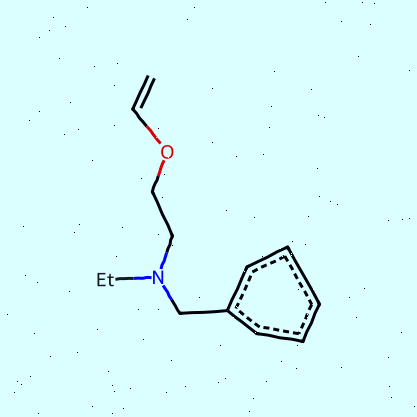 C=COCCN(CC)Cc1ccccc1